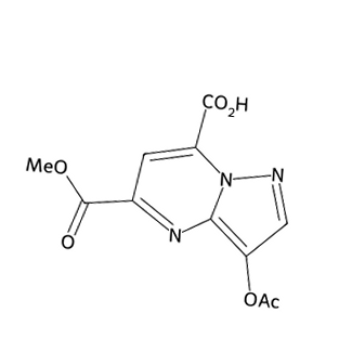 COC(=O)c1cc(C(=O)O)n2ncc(OC(C)=O)c2n1